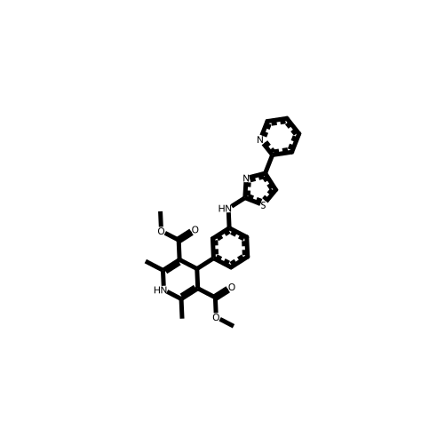 COC(=O)C1=C(C)NC(C)=C(C(=O)OC)C1c1cccc(Nc2nc(-c3ccccn3)cs2)c1